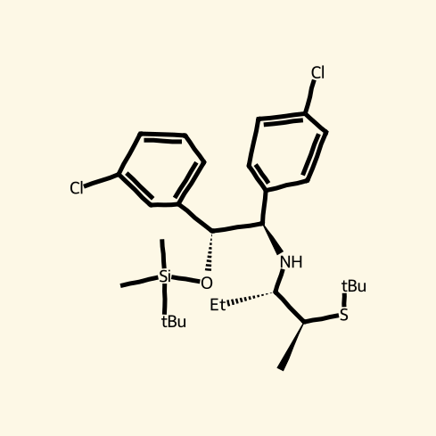 CC[C@H](N[C@H](c1ccc(Cl)cc1)[C@H](O[Si](C)(C)C(C)(C)C)c1cccc(Cl)c1)[C@H](C)SC(C)(C)C